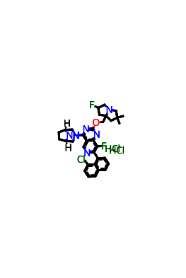 CC1(C)CN2CC(F)CC2(COc2nc(N3C[C@H]4CC[C@@H](C3)N4)c3cnc(-c4cccc5cccc(Cl)c45)c(F)c3n2)C1.Cl.Cl